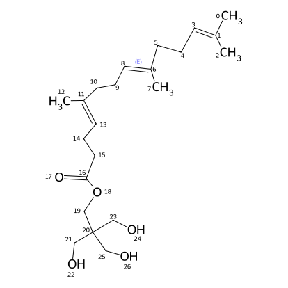 CC(C)=CCC/C(C)=C/CCC(C)=CCCC(=O)OCC(CO)(CO)CO